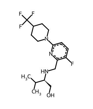 CC(C)[C@H](CO)NCc1nc(N2CCC(C(F)(F)F)CC2)ccc1F